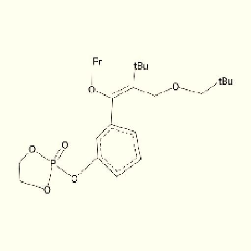 CC(C)OC(=C(COCC(C)(C)C)C(C)(C)C)c1cccc(OP2(=O)OCCO2)c1